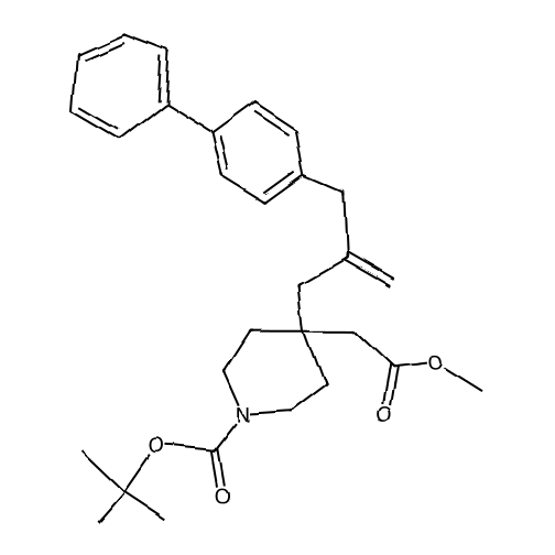 C=C(Cc1ccc(-c2ccccc2)cc1)CC1(CC(=O)OC)CCN(C(=O)OC(C)(C)C)CC1